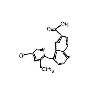 Cc1cc(Cl)cnc1-c1cccc2ccc(C(=O)O)cc12